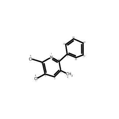 Cc1cc(Cl)c(Cl)nc1-c1ccccc1